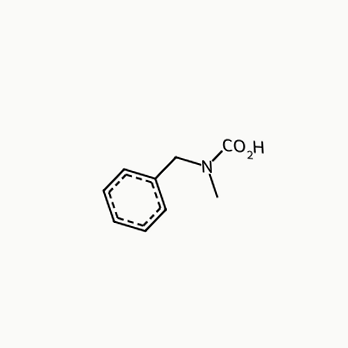 CN(Cc1ccccc1)C(=O)O